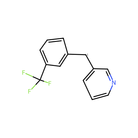 FC(F)(F)c1cccc([C]c2cccnc2)c1